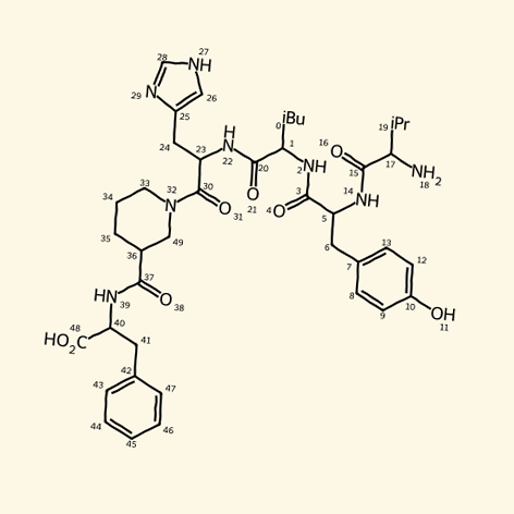 CCC(C)C(NC(=O)C(Cc1ccc(O)cc1)NC(=O)C(N)C(C)C)C(=O)NC(Cc1c[nH]cn1)C(=O)N1CCCC(C(=O)NC(Cc2ccccc2)C(=O)O)C1